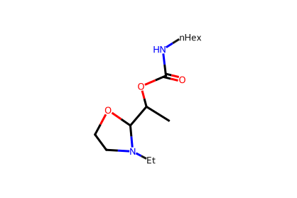 CCCCCCNC(=O)OC(C)C1OCCN1CC